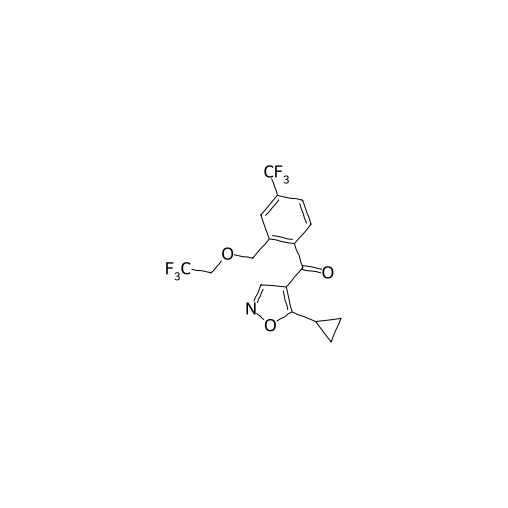 O=C(c1ccc(C(F)(F)F)cc1COCC(F)(F)F)c1cnoc1C1CC1